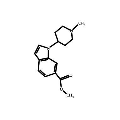 COC(=O)c1ccc2ccn(C3CCN(C)CC3)c2c1